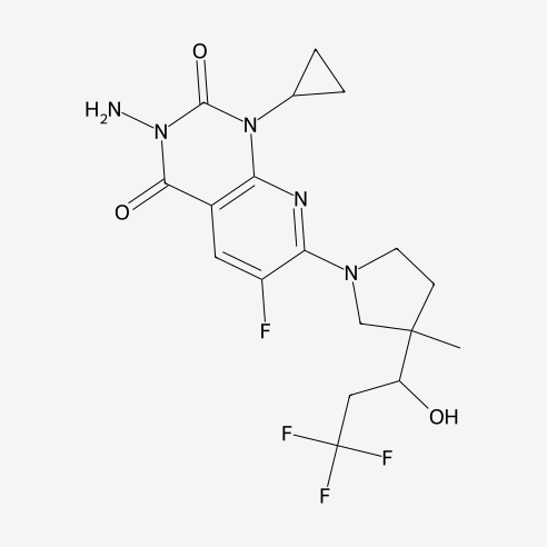 CC1(C(O)CC(F)(F)F)CCN(c2nc3c(cc2F)c(=O)n(N)c(=O)n3C2CC2)C1